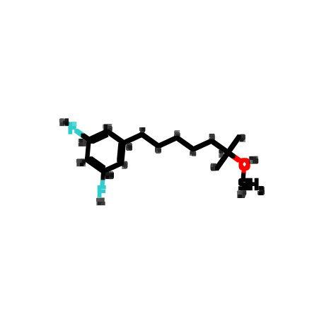 CC(C)(CCCCCc1cc(F)cc(F)c1)O[SiH3]